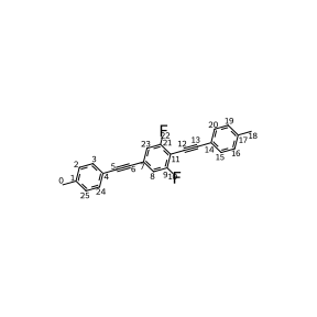 Cc1ccc(C#Cc2cc(F)c(C#Cc3ccc(C)cc3)c(F)c2)cc1